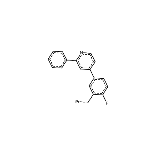 CC(C)Cc1cc(-c2ccnc(-c3ccccc3)c2)ccc1F